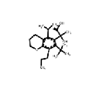 CCCc1c2c(c(C(C)C)c(C(C)(O)C(=O)O)c1C(C)(C)C)CCCO2